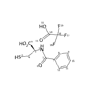 O=C(N[C@@H](CS)C(=O)O)c1ccccc1.O=C(O)C(F)(F)F